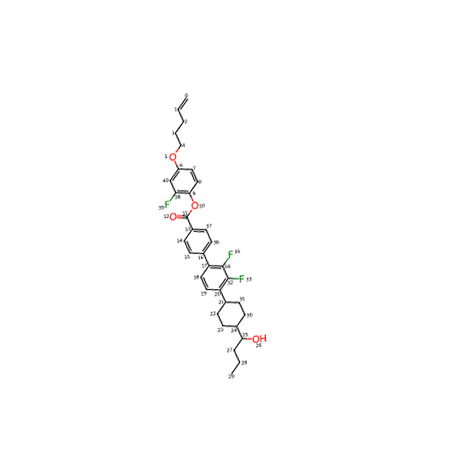 C=CCCCOc1ccc(OC(=O)c2ccc(-c3ccc(C4CCC(C(O)CCC)CC4)c(F)c3F)cc2)c(F)c1